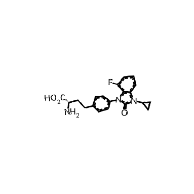 N[C@@H](CCc1ccc(-n2c(=O)n(C3CC3)c3cccc(F)c32)cc1)C(=O)O